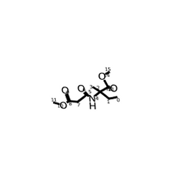 CCC(C)(NC(=O)CC(=O)OC)C(=O)OC